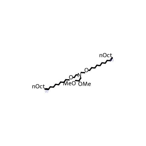 CCCCCCCC/C=C\CCCCCCCCOCCN(CCOCCCCCCCC/C=C\CCCCCCCC)CC(COC)OC